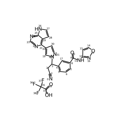 N#CCC(c1cccc(C(=O)Nc2ccon2)c1)n1cc(-c2ncnc3[nH]ccc23)cn1.O=C(O)C(F)(F)F